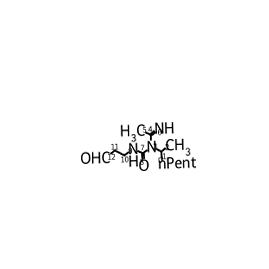 CCCCCC(C)N(C(C)=N)C(=O)NCCC=O